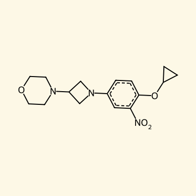 O=[N+]([O-])c1cc(N2CC(N3CCOCC3)C2)ccc1OC1CC1